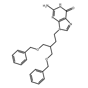 Nc1nc2c(ncn2CCC(COCc2ccccc2)COCc2ccccc2)c(=O)[nH]1